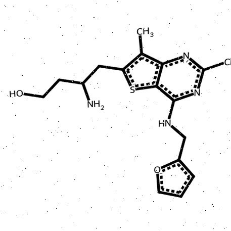 Cc1c(CC(N)CCO)sc2c(NCc3ccco3)nc(Cl)nc12